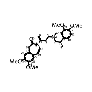 C=C(CCN(C)C[C@H](C)c1ccc(OC)c(OC)c1)N1C=Cc2cc(OC)c(OC)cc2CC1=O